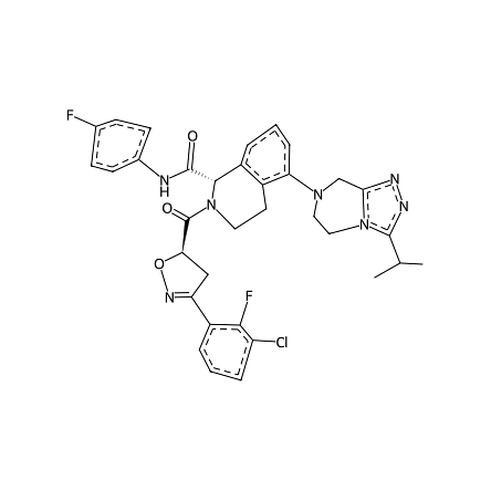 CC(C)c1nnc2n1CCN(c1cccc3c1CCN(C(=O)[C@H]1CC(c4cccc(Cl)c4F)=NO1)[C@@H]3C(=O)Nc1ccc(F)cc1)C2